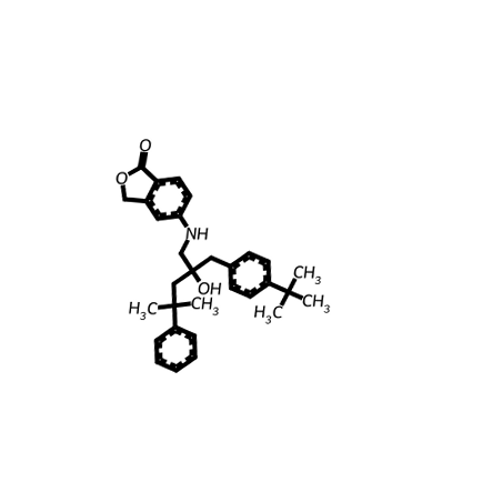 CC(C)(C)c1ccc(CC(O)(CNc2ccc3c(c2)COC3=O)CC(C)(C)c2ccccc2)cc1